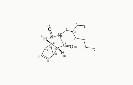 CCCCC(CC)CN1C(=O)[C@@H]2C3C=CC(C3)[C@@H]2C1=O